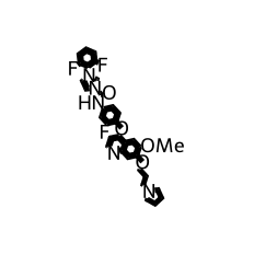 COc1cc2c(Oc3ccc(NC(=O)N4C=CN(c5c(F)cccc5F)C4)cc3F)ccnc2cc1OCCCN1CCCC1